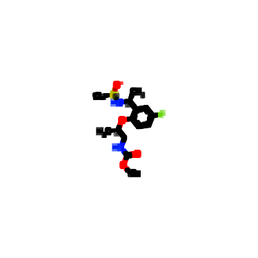 C[C@H](N[S@+]([O-])C(C)(C)C)c1cc(F)ccc1O[C@@H](C)CNC(=O)OC(C)(C)C